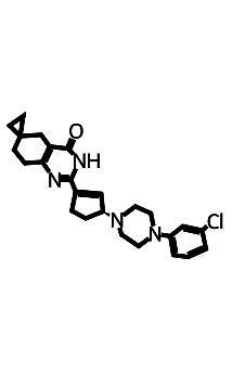 O=c1[nH]c(C2=C[C@H](N3CCN(c4cccc(Cl)c4)CC3)CC2)nc2c1CC1(CC2)CC1